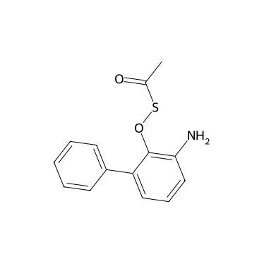 CC(=O)SOc1c(N)cccc1-c1ccccc1